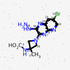 CC1(NC(=O)O)CN(c2nc3ncc(Br)cc3nc2NN)C1